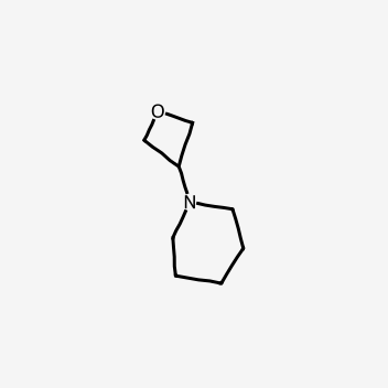 C1CCN(C2COC2)CC1